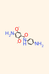 COc1cc(C(=O)Nc2ccc(N)cc2)c(OC)cc1N